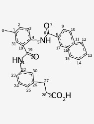 Cc1ccc(NC(=O)c2ccc3ccccc3c2)c(C(=O)Nc2cccc(CCC(=O)O)c2)c1